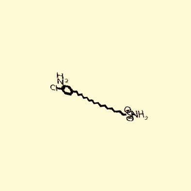 Nc1cc(CCCCCCCCCCCCCCCCS(N)(=O)=O)ccc1Cl